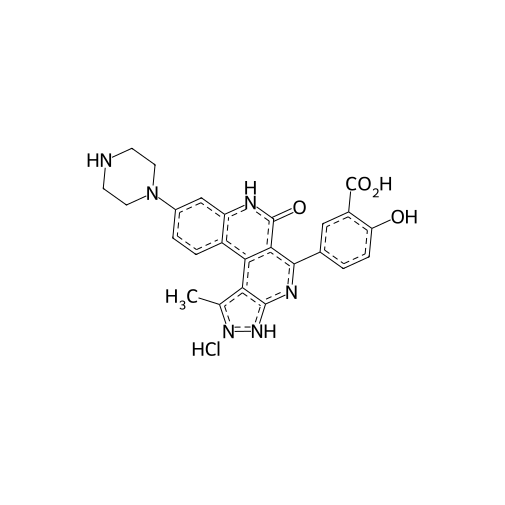 Cc1n[nH]c2nc(-c3ccc(O)c(C(=O)O)c3)c3c(=O)[nH]c4cc(N5CCNCC5)ccc4c3c12.Cl